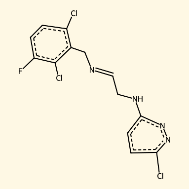 Fc1ccc(Cl)c(C/N=C/CNc2ccc(Cl)nn2)c1Cl